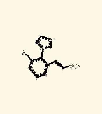 CCOC(=O)C=Cc1cccc(Br)c1-n1ccnc1